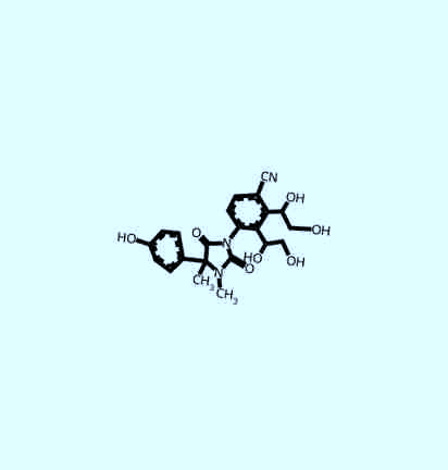 CN1C(=O)N(c2ccc(C#N)c(C(O)CO)c2C(O)CO)C(=O)C1(C)c1ccc(O)cc1